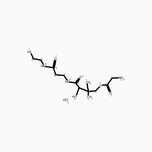 CC(C)(COC(=O)CN)C(O)C(=O)NCCC(=O)NCCS.Cl